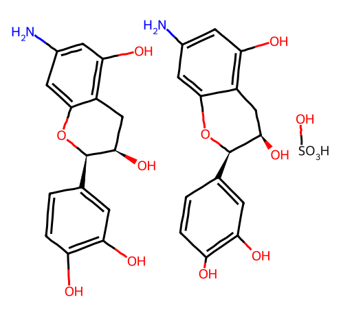 Nc1cc(O)c2c(c1)O[C@H](c1ccc(O)c(O)c1)[C@H](O)C2.Nc1cc(O)c2c(c1)O[C@H](c1ccc(O)c(O)c1)[C@H](O)C2.O=S(=O)(O)O